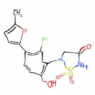 Cc1ccc(-c2ccc(O)c(N3CC(=O)NS3(=O)=O)c2F)o1